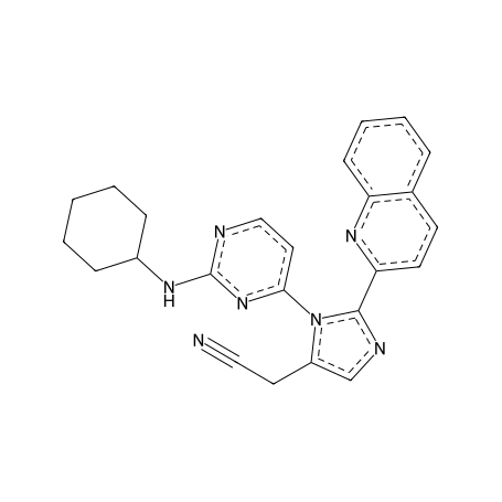 N#CCc1cnc(-c2ccc3ccccc3n2)n1-c1ccnc(NC2CCCCC2)n1